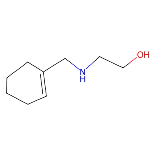 OCCNCC1=CCCCC1